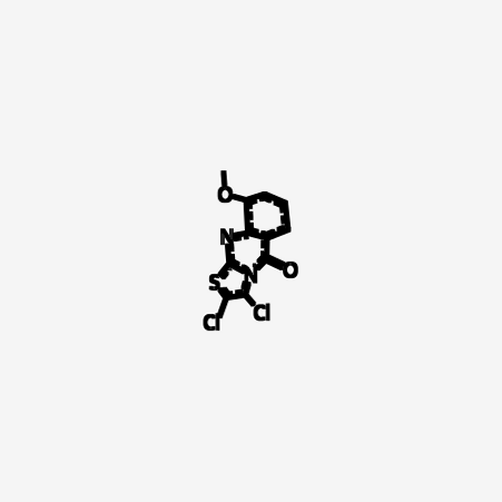 COc1cccc2c(=O)n3c(Cl)c(Cl)sc3nc12